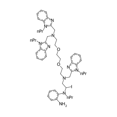 CCCN(c1ccccc1N)C(I)CN(CCOCCOCCN(Cc1nc2ccccc2n1CCC)Cc1nc2ccccc2n1CCC)Cc1nc2ccccc2n1CCC